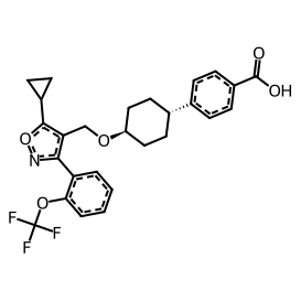 O=C(O)c1ccc([C@H]2CC[C@H](OCc3c(-c4ccccc4OC(F)(F)F)noc3C3CC3)CC2)cc1